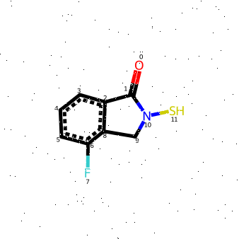 O=C1c2cccc(F)c2CN1S